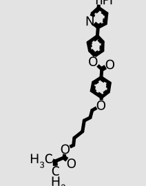 C=C(C)C(=O)OCCCCCCOc1ccc(C(=O)Oc2ccc(-c3ccc(CCC)cn3)cc2)cc1